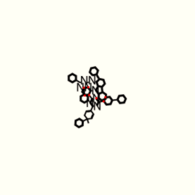 CC1(c2ccccc2)C=CC(c2nc(-c3ccc(-c4ccccc4)cc3)nc(-c3ccccc3-n3c4ccccc4c4ccc5c6ccccc6n(-c6nc(-c7ccccc7)nc(-c7ccccc7)n6)c5c43)n2)=CC1